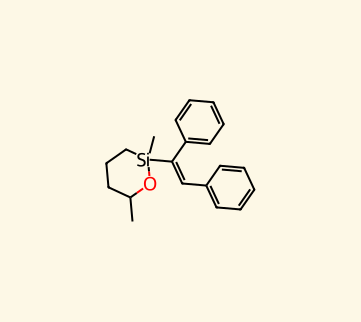 CC1CCC[Si](C)(C(=Cc2ccccc2)c2ccccc2)O1